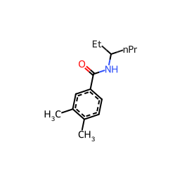 CCCC(CC)NC(=O)c1ccc(C)c(C)c1